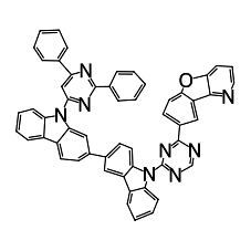 c1ccc(-c2cc(-n3c4ccccc4c4ccc(-c5ccc6c(c5)c5ccccc5n6-c5ncnc(-c6ccc7oc8cccnc8c7c6)n5)cc43)nc(-c3ccccc3)n2)cc1